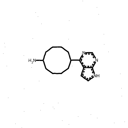 NC1CCCCC(c2ncnc3[nH]ccc23)CCCC1